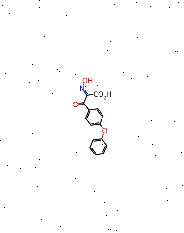 O=C(O)/C(=N\O)C(=O)c1ccc(Oc2ccccc2)cc1